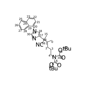 CC(CCCN(C(=O)OC(C)(C)C)C(=O)OC(C)(C)C)C(C)(C#N)c1cn(-c2cccc3ccccc23)cn1